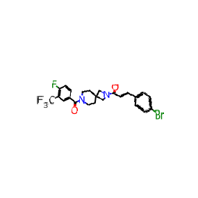 O=C(/C=C/c1ccc(Br)cc1)N1CC2(CCN(C(=O)c3ccc(F)c(C(F)(F)F)c3)CC2)C1